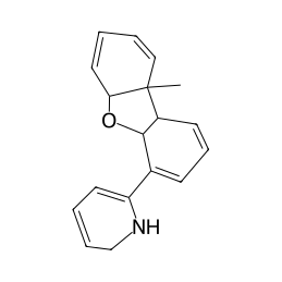 CC12C=CC=CC1OC1C(C3=CC=CCN3)=CC=CC12